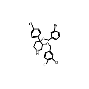 Clc1ccc([C@@]2(OCc3cccc(Br)c3)CCNC[C@@H]2OCc2ccc(Cl)c(Cl)c2)cc1